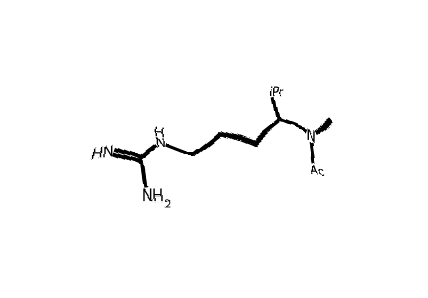 CC(=O)N(C)C(CCCNC(=N)N)C(C)C